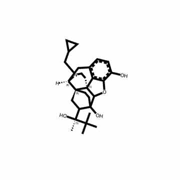 CC(C)(C)[C@@](C)(O)C1C[C@]23CCC1(O)C1Oc4c(O)ccc5c4[C@@]12CCN(CC1CC1)[C@@H]3C5